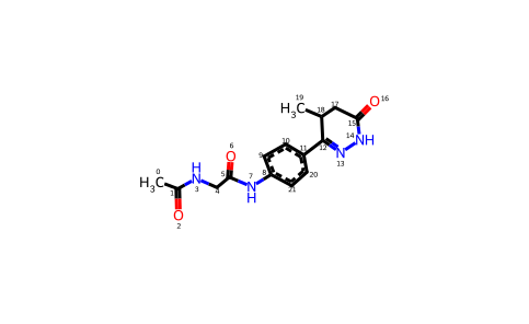 CC(=O)NCC(=O)Nc1ccc(C2=NNC(=O)CC2C)cc1